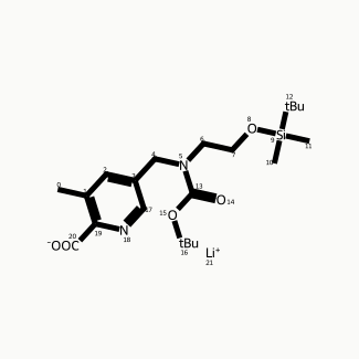 Cc1cc(CN(CCO[Si](C)(C)C(C)(C)C)C(=O)OC(C)(C)C)cnc1C(=O)[O-].[Li+]